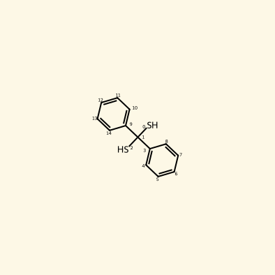 SC(S)(c1ccccc1)c1ccccc1